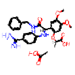 CC(=O)O.COc1cc(O[C@H](C)C(=O)O)c([C@@H](Nc2ccc(C(=N)N)cc2)C(=O)NCc2ccccc2)cc1OC